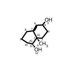 C[C@]12CCC(O)C=C1CCC[C@@H]2O